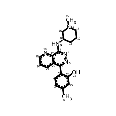 Cc1ccc(-c2nnc(N[C@@H]3CCCN(C)C3)c3ncccc23)c(O)c1